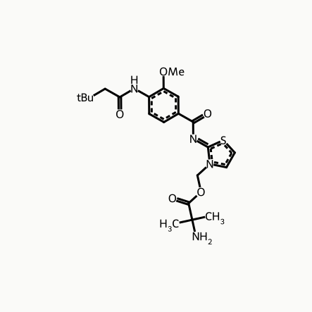 COc1cc(C(=O)/N=c2\sccn2COC(=O)C(C)(C)N)ccc1NC(=O)CC(C)(C)C